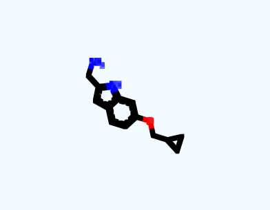 NCc1cc2ccc(OCC3CC3)cc2[nH]1